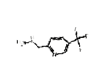 NNCc1ccc(C(F)(F)F)cn1